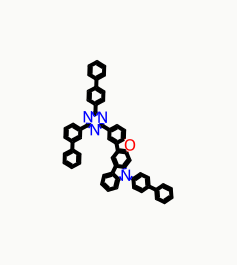 c1ccc(-c2ccc(-c3nc(-c4cccc(-c5ccccc5)c4)nc(-c4ccc5oc6cc7c(cc6c5c4)c4ccccc4n7-c4ccc(-c5ccccc5)cc4)n3)cc2)cc1